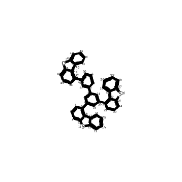 c1cc(-c2cc(-c3cccc4sc5ccccc5c34)cc(-c3cccc4sc5ccccc5c34)c2)cc(-c2cccc3oc4ccccc4c23)c1